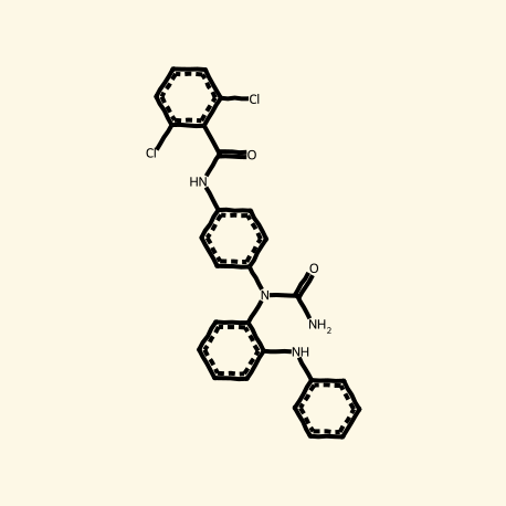 NC(=O)N(c1ccc(NC(=O)c2c(Cl)cccc2Cl)cc1)c1ccccc1Nc1ccccc1